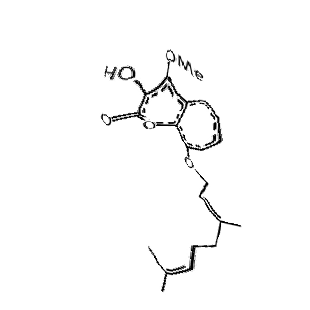 COc1c(O)c(=O)oc2c(OC/C=C(\C)CCC=C(C)C)cccc12